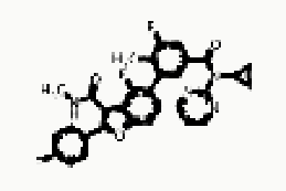 CNC(=O)c1c(-c2ccc(F)cc2)oc2ccc(-c3cc(C(=O)N(c4ncccn4)C4CC4)cc(F)c3C)c(F)c12